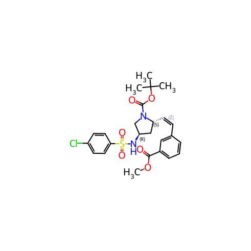 COC(=O)c1cccc(/C=C\[C@@H]2C[C@@H](NS(=O)(=O)c3ccc(Cl)cc3)CN2C(=O)OC(C)(C)C)c1